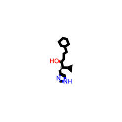 OC(CCCC1CCCCC1)[C@H](Cc1c[nH]cn1)C1CC1